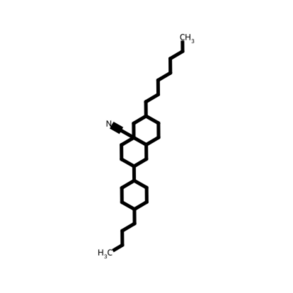 CCCCCCCC1CCC2CC(C3CCC(CCCC)CC3)CCC2(C#N)C1